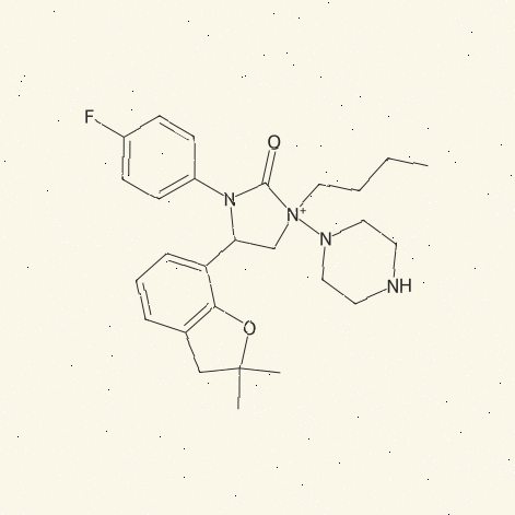 CCCC[N+]1(N2CCNCC2)CC(c2cccc3c2OC(C)(C)C3)N(c2ccc(F)cc2)C1=O